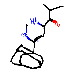 CN/C(=C\C(N)C(=O)C(C)C)C12CC3CC(CC(C3)C1)C2